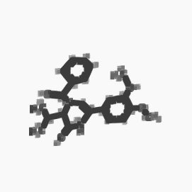 COc1ccc(C2=CN(C(=O)c3ccccc3)C(C(C)C)C(=O)N2)cc1OC